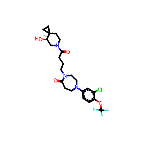 O=C1CCN(c2ccc(OC(F)(F)F)c(Cl)c2)CCN1CCCC(=O)N1CCC2(CC2)[C@H](O)C1